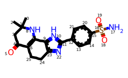 CC1(C)CC(=O)C2=C(N1)c1[nH]c(-c3ccc(S(N)(=O)=O)cc3)nc1CC2